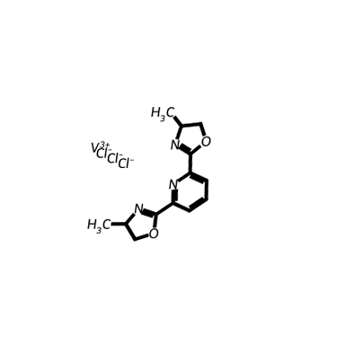 CC1COC(c2cccc(C3=NC(C)CO3)n2)=N1.[Cl-].[Cl-].[Cl-].[V+3]